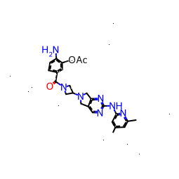 CC(=O)Oc1cc(C(=O)N2CC(N3Cc4cnc(Nc5cc(C)cc(C)n5)nc4C3)C2)ccc1N